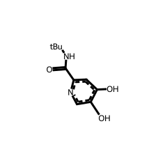 CC(C)(C)NC(=O)c1cc(O)c(O)cn1